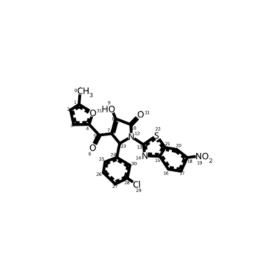 Cc1ccc(C(=O)C2=C(O)C(=O)N(c3nc4ccc([N+](=O)[O-])cc4s3)C2c2cccc(Cl)c2)o1